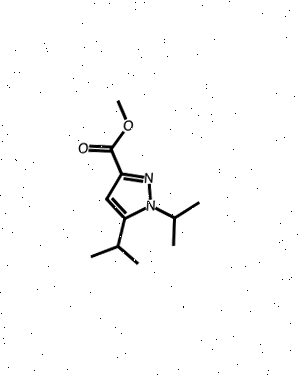 COC(=O)c1cc(C(C)C)n(C(C)C)n1